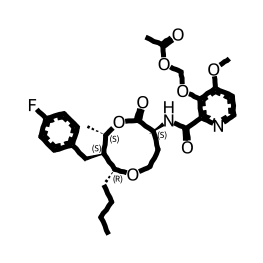 CCCC[C@H]1OCC[C@H](NC(=O)c2nccc(OC)c2OCOC(C)=O)C(=O)O[C@@H](C)[C@@H]1Cc1ccc(F)cc1